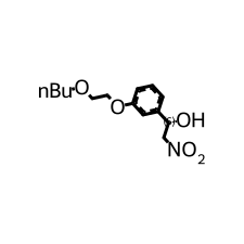 CCCCOCCOc1cccc([C@H](O)C[N+](=O)[O-])c1